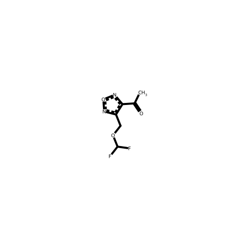 CC(=O)c1nonc1COC(F)F